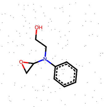 OCCN(c1ccccc1)C1CO1